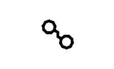 [CH]1CCCCC(CCC2CCC[CH]CCCC2)CCC1